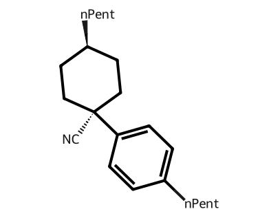 CCCCCc1ccc([C@]2(C#N)CC[C@H](CCCCC)CC2)cc1